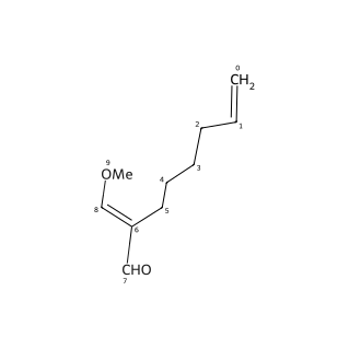 C=CCCCCC(C=O)=COC